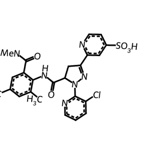 CNC(=O)c1cc(C#N)cc(C)c1NC(=O)C1CC(c2cc(S(=O)(=O)O)ccn2)=NN1c1ncccc1Cl